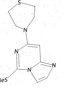 CSc1nc(N2CCSCC2)cc2nccn12